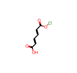 O=C(O)C=CC=CC(=O)OCl